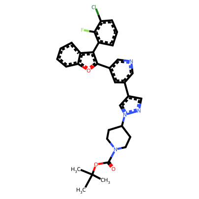 CC(C)(C)OC(=O)N1CCC(n2cc(-c3cncc(-c4oc5ccccc5c4-c4cccc(Cl)c4F)c3)cn2)CC1